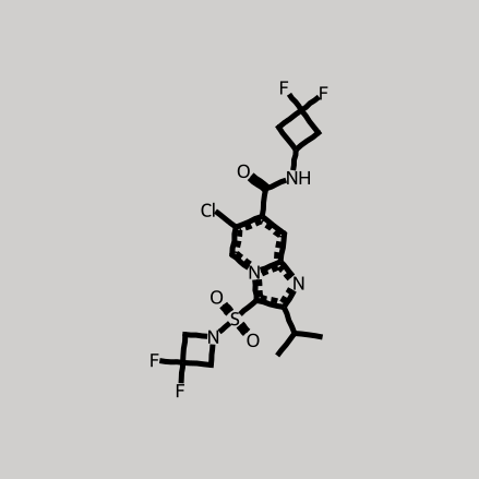 CC(C)c1nc2cc(C(=O)NC3CC(F)(F)C3)c(Cl)cn2c1S(=O)(=O)N1CC(F)(F)C1